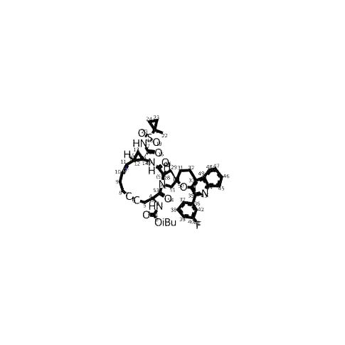 CC(C)COC(=O)N[C@H]1CCCCC/C=C\[C@@H]2C[C@@]2(C(=O)NS(=O)(=O)C2(C)CC2)NC(=O)[C@@H]2C[C@]3(CCc4c(c(-c5cccc(F)c5)nc5ccccc45)O3)CN2C1=O